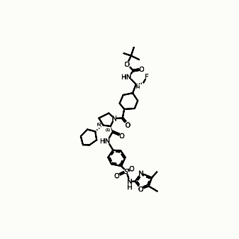 Cc1nc(NS(=O)(=O)c2ccc(NC(=O)[C@@H]3[C@H](C4CCCCC4)CCN3C(=O)C3CCC([C@@H](CF)NC(=O)OC(C)(C)C)CC3)cc2)oc1C